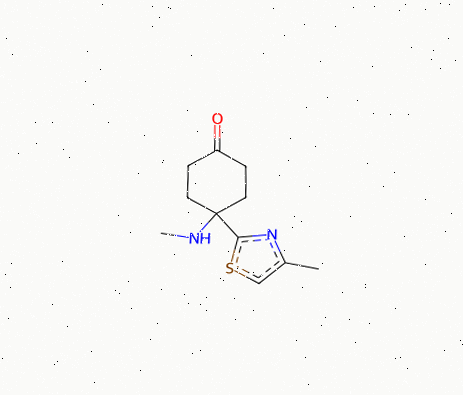 CNC1(c2nc(C)cs2)CCC(=O)CC1